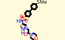 CSc1ccc(-c2ccc(S(=O)(=O)NC3=CN(CC(=O)N4CCOCC4)NS3)cc2)cc1